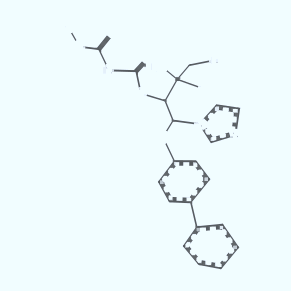 COC(=O)NC(=O)OC(C(Oc1ccc(-c2ccccc2)cc1)n1ccnc1)C(C)(C)CBr